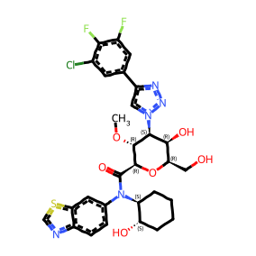 CO[C@@H]1[C@@H](n2cc(-c3cc(F)c(F)c(Cl)c3)nn2)[C@@H](O)[C@@H](CO)O[C@H]1C(=O)N(c1ccc2ncsc2c1)[C@H]1CCCC[C@@H]1O